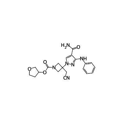 N#CCC1(n2cc(C(N)=O)c(Nc3ccccc3)n2)CN(C(=O)OC2CCOC2)C1